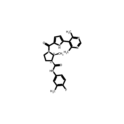 Cc1cc(NC(=O)[C@H]2CCN(C(=O)c3ccc(-c4c(C)ncnc4C)[nH]3)[C@H]2C)ccc1F